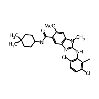 COc1cc2c(cc1C(=O)NC1CCC(C)(C)CC1)nc(Nc1c(Cl)ccc(Cl)c1F)n2C